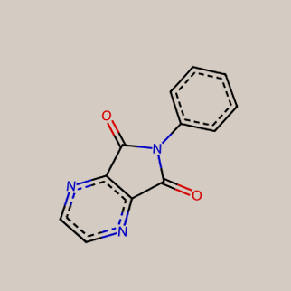 O=C1c2nccnc2C(=O)N1c1ccccc1